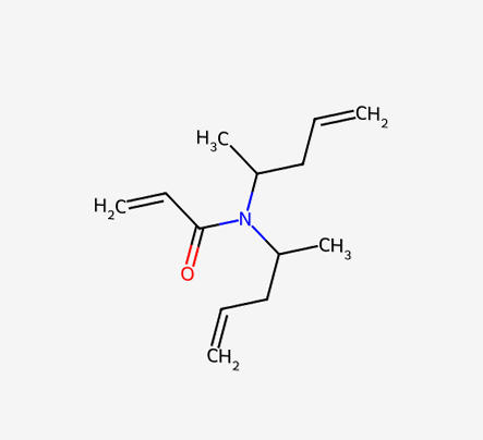 C=CCC(C)N(C(=O)C=C)C(C)CC=C